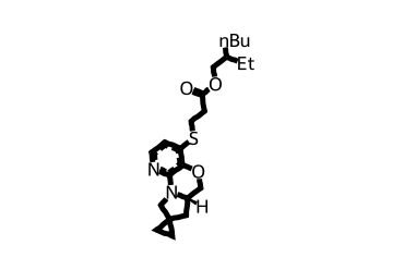 CCCCC(CC)COC(=O)CCSc1ccnc2c1OC[C@@H]1CC3(CC3)CN21